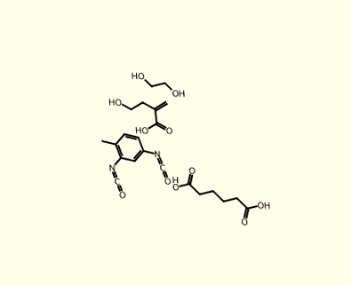 C=C(CCO)C(=O)O.Cc1ccc(N=C=O)cc1N=C=O.O=C(O)CCCCC(=O)O.OCCO